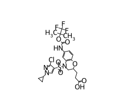 CC(C)(OC(=O)Nc1ccc2c(c1)N(S(=O)(=O)c1cn(C3CC3)nc1Cl)CC(CCC(=O)O)O2)C(F)(F)F